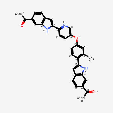 CNC(=O)c1ccc2cc(-c3ccc(Oc4ccc(-c5cc6ccc(C(=O)NC)cc6[nH]5)c(C(F)(F)F)c4)cn3)[nH]c2c1